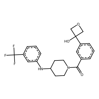 O=C(c1cccc(C2(O)COC2)c1)N1CCC(Nc2cccc(C(F)(F)F)c2)CC1